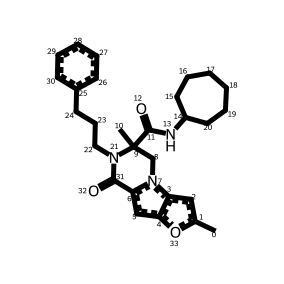 Cc1cc2c(cc3n2CC(C)(C(=O)NC2CCCCCC2)N(CCCc2ccccc2)C3=O)o1